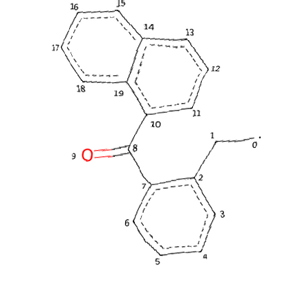 [CH2]Cc1ccccc1C(=O)c1cccc2ccccc12